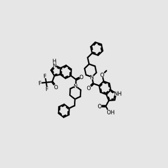 COc1cc2[nH]cc(C(=O)O)c2cc1C(=O)N1CCC(Cc2ccccc2)CC1.O=C(c1ccc2[nH]cc(C(=O)C(F)(F)F)c2c1)N1CCC(Cc2ccccc2)CC1